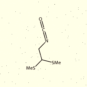 CSC(CN=C=O)SC